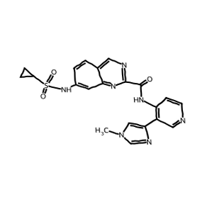 Cn1cnc(-c2cnccc2NC(=O)c2ncc3ccc(NS(=O)(=O)C4CC4)cc3n2)c1